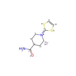 NC(=O)C1CC[N+](=c2sccs2)CC1.[I-]